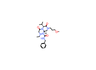 CCN1CC(=O)N2[C@@H](C(C)C)C(=O)N(CCCOC)C[C@@H]2N1C(=O)NCc1ccccc1